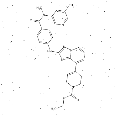 CCOC(=O)N1CC=C(c2cccn3nc(Nc4ccc(C(=O)N(C)c5cncc(C)c5)cc4)nc23)CC1